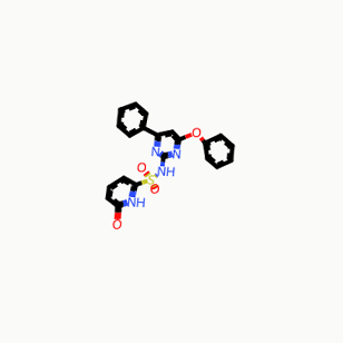 O=c1cccc(S(=O)(=O)Nc2nc(Oc3ccccc3)cc(-c3ccccc3)n2)[nH]1